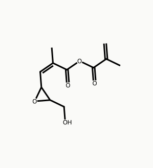 C=C(C)C(=O)OC(=O)C(C)=CC1OC1CO